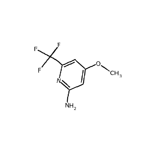 COc1cc(N)nc(C(F)(F)F)c1